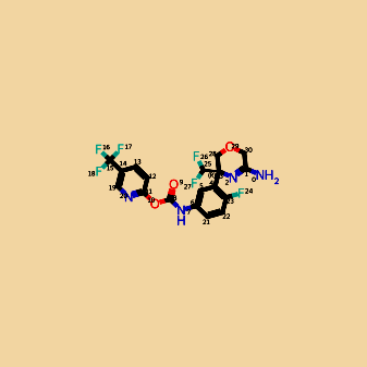 NC1=N[C@@](c2cc(NC(=O)Oc3ccc(C(F)(F)F)cn3)ccc2F)(C(F)F)COC1